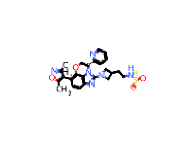 Cc1noc(C)c1-c1ccc2nc(N3CC(CCN[SH](=O)=O)C3)n3c2c1OC[C@@H]3c1ccccn1